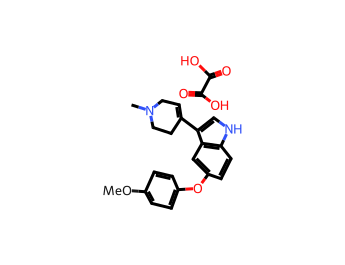 COc1ccc(Oc2ccc3[nH]cc(C4=CCN(C)CC4)c3c2)cc1.O=C(O)C(=O)O